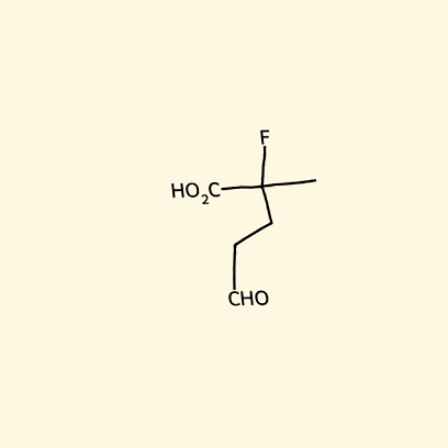 CC(F)(CCC=O)C(=O)O